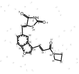 O=C1NC(=O)C(=Cc2ccc3occ(C=CC(=O)N4CCC4)c3c2)S1